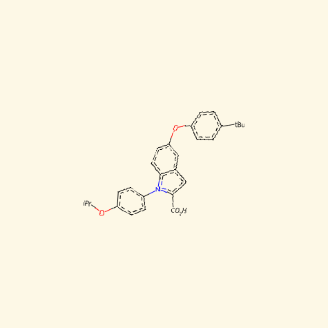 CC(C)Oc1ccc(-n2c(C(=O)O)cc3cc(Oc4ccc(C(C)(C)C)cc4)ccc32)cc1